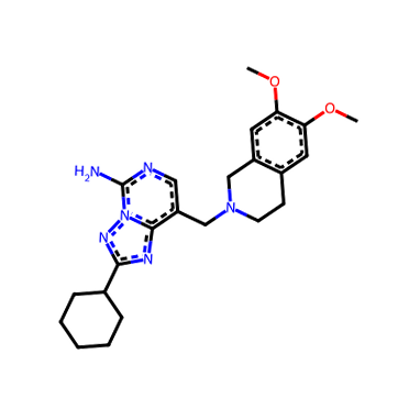 COc1cc2c(cc1OC)CN(Cc1cnc(N)n3nc(C4CCCCC4)nc13)CC2